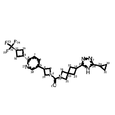 O=C(N1CC(c2ccc([C@H]3C[C@H](C(F)(F)F)C3)nc2)C1)N1CC2(CC(c3nnc(C4CC4)[nH]3)C2)C1